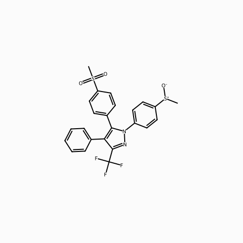 C[S+]([O-])c1ccc(-n2nc(C(F)(F)F)c(-c3ccccc3)c2-c2ccc(S(C)(=O)=O)cc2)cc1